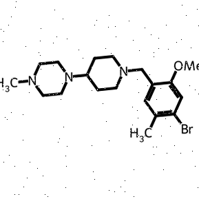 COc1cc(Br)c(C)cc1CN1CCC(N2CCN(C)CC2)CC1